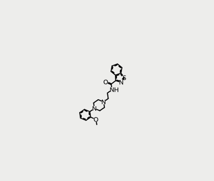 COc1ccccc1N1CCN(CCNC(=O)c2nsc3ccccc23)CC1